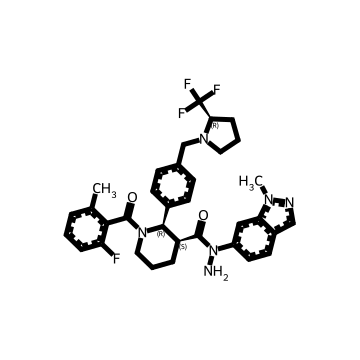 Cc1cccc(F)c1C(=O)N1CCC[C@H](C(=O)N(N)c2ccc3cnn(C)c3c2)[C@@H]1c1ccc(CN2CCC[C@@H]2C(F)(F)F)cc1